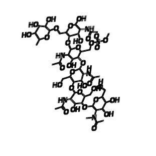 COS(=O)(=O)OCC1OC(OC2C(COC3OC(C)C(O)C(O)C3O)OC(O)C(NC(C)=O)C2O)C(NC(C)=O)C(O)C1OC1OC(CO)C(OC2OC(CO)C(OC3OC(CO)C(O)C(O)C3N(C)C(C)=O)C(O)C2NC(C)=O)C(O)C1NC(C)=O